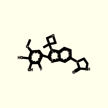 COc1cc(-c2nc3cc(N4CCNC4=O)ccc3n2C2(C)COC2)c(F)c(O)c1O